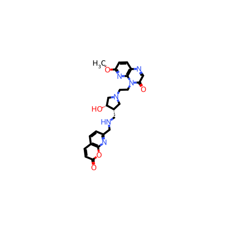 COc1ccc2ncc(=O)n(CCN3C[C@H](CNCc4ccc5ccc(=O)oc5n4)[C@H](O)C3)c2n1